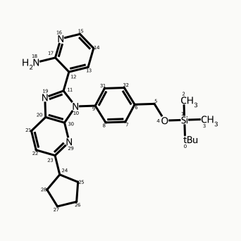 CC(C)(C)[Si](C)(C)OCc1ccc(-n2c(-c3cccnc3N)nc3ccc(C4CCCC4)nc32)cc1